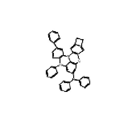 c1ccc(-c2ccc3c(c2)B2c4cc5c(cc4Oc4cc(N(c6ccccc6)c6ccccc6)cc(c42)N3c2ccccc2)CC5)cc1